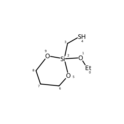 CCO[Si]1(CS)OCCCO1